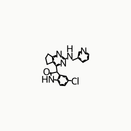 O=C1Nc2ccc(Cl)cc2C1c1nc(NCc2cccnc2)nc2c1CCC2